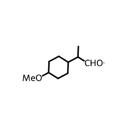 COC1CCC(C(C)[C]=O)CC1